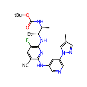 CC[C@@H](Nc1nc(Nc2cncc(-n3cc(C)cn3)c2)c(C#N)cc1F)[C@H](C)NC(=O)OC(C)(C)C